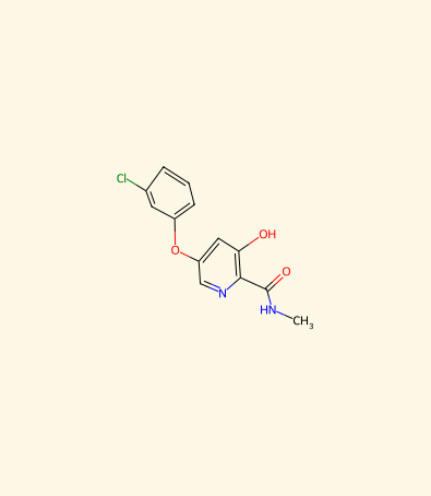 CNC(=O)c1ncc(Oc2cccc(Cl)c2)cc1O